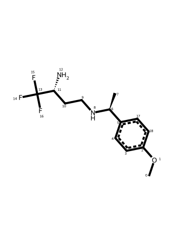 COc1ccc([C@H](C)NCC[C@@H](N)C(F)(F)F)cc1